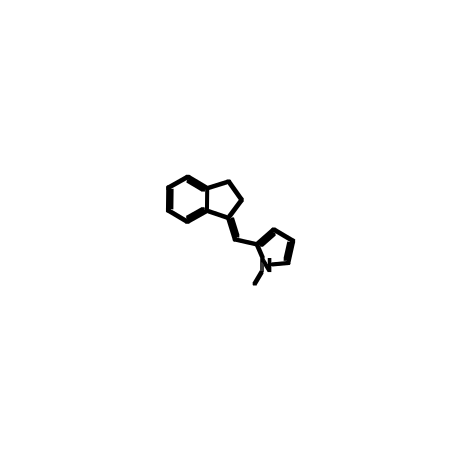 Cn1cccc1/C=C1\CCc2ccccc21